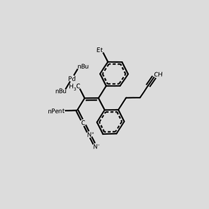 C#CCCc1ccccc1C(=C(C)C(=C=[N+]=[N-])CCCCC)c1cccc(CC)c1.CCC[CH2][Pd][CH2]CCC